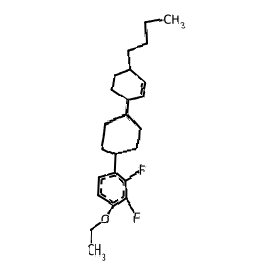 CCCCC1C=CC(C2CCC(c3ccc(OCC)c(F)c3F)CC2)CC1